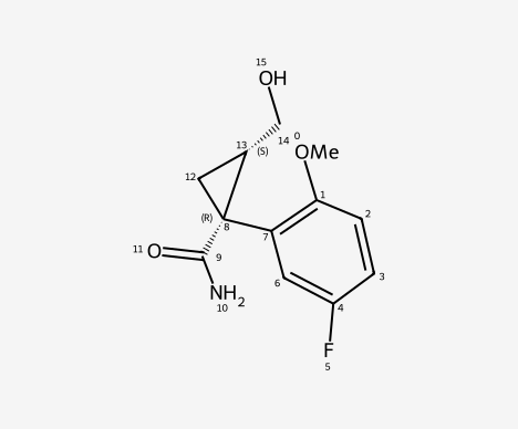 COc1ccc(F)cc1[C@@]1(C(N)=O)C[C@@H]1CO